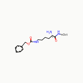 CCCCCCCCNC(=O)[C@@H](N)CCCCNC(=O)OCc1ccccc1